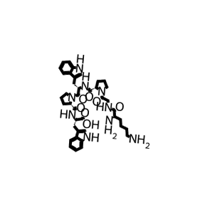 NCCCC[C@H](N)C(=O)NCC(=O)N1CCC[C@H]1C(=O)N[C@@H](Cc1c[nH]c2ccccc12)C(=O)N1CCC[C@H]1C(=O)N[C@@H](Cc1c[nH]c2ccccc12)C(=O)O